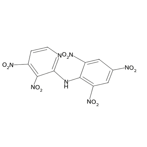 O=[N+]([O-])c1cc([N+](=O)[O-])c(Nc2nccc([N+](=O)[O-])c2[N+](=O)[O-])c([N+](=O)[O-])c1